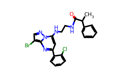 CC(C(=O)NCCNc1cc(-c2ccccc2Cl)nc2c(Br)cnn12)c1ccccc1